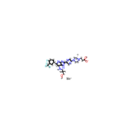 COCC(C)(C)CN(C)c1cc(-c2ccc(F)c(C(F)(F)F)c2)nc2nc(-c3cnc(N4CCN(CCC(=O)[O-])[C@@H](C)C4)cn3)[nH]c12.[Na+]